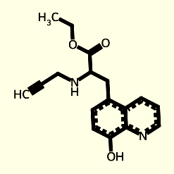 C#CCNC(Cc1ccc(O)c2ncccc12)C(=O)OCC